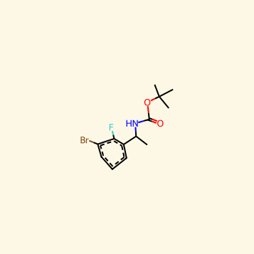 CC(NC(=O)OC(C)(C)C)c1cccc(Br)c1F